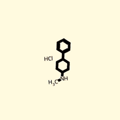 CNC1CCC(c2ccccc2)CC1.Cl